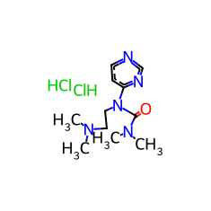 CN(C)CCN(C(=O)N(C)C)c1ccncn1.Cl.Cl